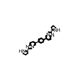 c1cc(-c2ccc3nc([C@H]4CCCN4)cn3c2)ccc1-c1ccc2nc([C@H]3CCCN3)cn2c1